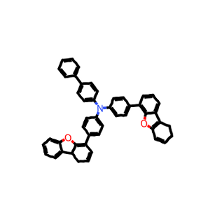 C1=Cc2oc3c(-c4ccc(N(c5ccc(C6=C7Oc8ccccc8C7CC=C6)cc5)c5ccc(-c6ccccc6)cc5)cc4)cccc3c2CC1